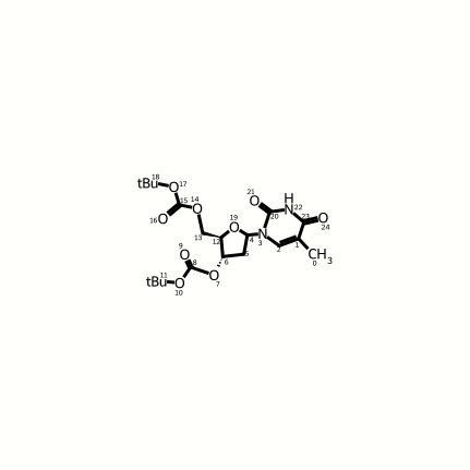 Cc1cn(C2C[C@H](OC(=O)OC(C)(C)C)[C@@H](COC(=O)OC(C)(C)C)O2)c(=O)[nH]c1=O